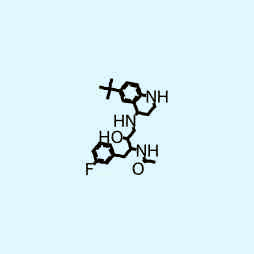 CC(=O)NC(Cc1cccc(F)c1)C(O)CNC1CCNc2ccc(C(C)(C)C)cc21